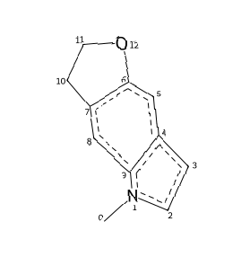 Cn1ccc2cc3c(cc21)CCO3